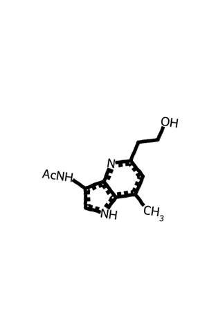 CC(=O)Nc1c[nH]c2c(C)cc(CCO)nc12